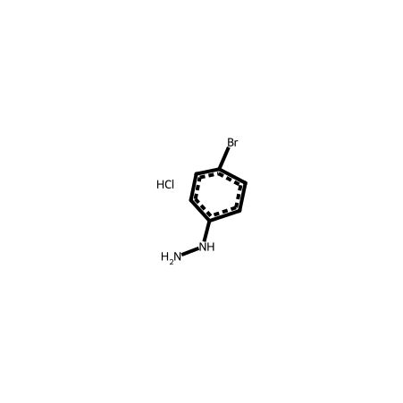 Cl.NNc1ccc(Br)cc1